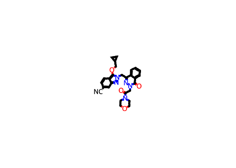 N#Cc1ccc2c(OCC3CC3)n(Cc3nn(CC(=O)N4CCOCC4)c(=O)c4ccccc34)nc2c1